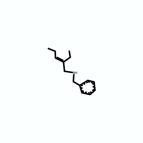 CC/C=C(\CC)CNCc1ccccc1